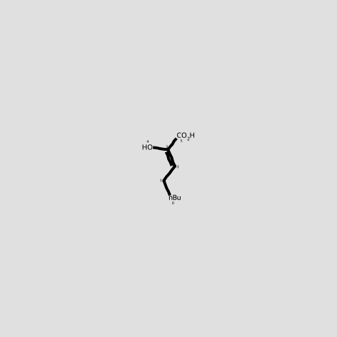 CCCCCC=C(O)C(=O)O